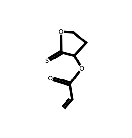 C=CC(=O)OC1CCOC1=S